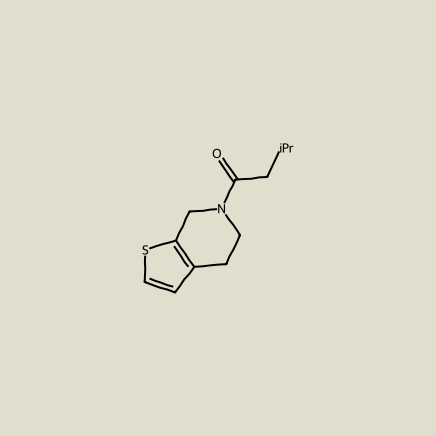 CC(C)CC(=O)N1CCc2ccsc2C1